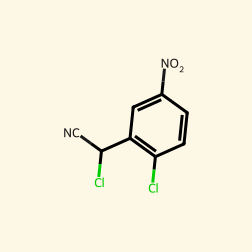 N#CC(Cl)c1cc([N+](=O)[O-])ccc1Cl